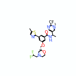 Cc1cnc(-c2cc(OC[C@H]3CN(CC(F)F)CCO3)cc(C(=O)NC(C)c3cnc(C(F)(F)F)nc3)c2)s1